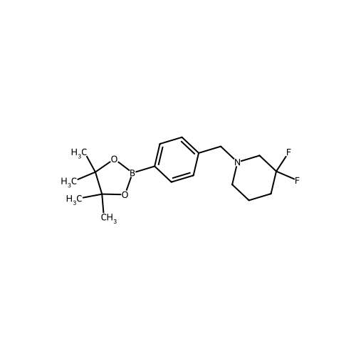 CC1(C)OB(c2ccc(CN3CCCC(F)(F)C3)cc2)OC1(C)C